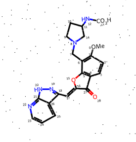 COc1ccc2c(c1CN1CCC(NC(=O)O)C1)OC(=Cc1n[nH]c3ncccc13)C2=O